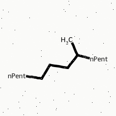 [CH2]CCCCC(C)CCCCCCCC